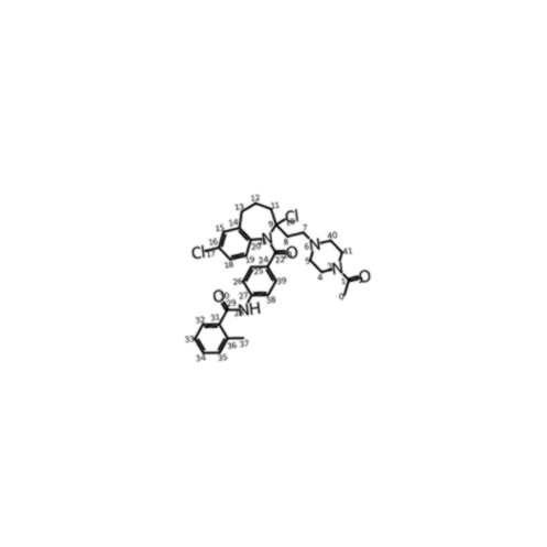 CC(=O)N1CCN(CCC2(Cl)CCCc3cc(Cl)ccc3N2C(=O)c2ccc(NC(=O)c3ccccc3C)cc2)CC1